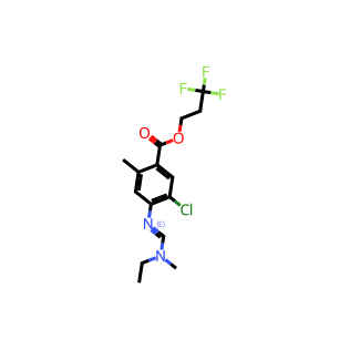 CCN(C)/C=N/c1cc(C)c(C(=O)OCCC(F)(F)F)cc1Cl